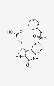 O=C(O)CCc1c[nH]c2c(=O)[nH]c3ccc(S(=O)(=O)Nc4ccccc4)cc3c12